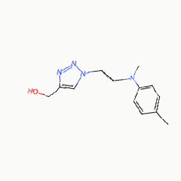 Cc1ccc(N(C)CCn2cc(CO)nn2)cc1